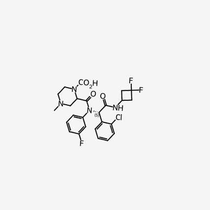 CN1CCN(C(=O)O)C(C(=O)N(c2cccc(F)c2)[C@H](C(=O)NC2CC(F)(F)C2)c2ccccc2Cl)C1